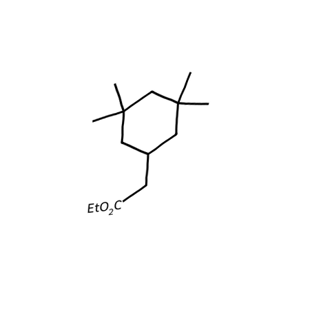 CCOC(=O)CC1CC(C)(C)CC(C)(C)C1